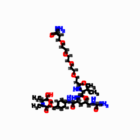 CC(C)[C@H](NC(=O)CCOCCOCCOCCOCCC(N)=O)C(=O)N[C@@H](CCCNC(N)=O)C(=O)Nc1ccc(COC(=O)N(C)[C@@H](C)C(=O)O)cc1